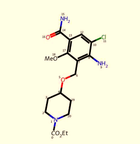 CCOC(=O)N1CCC(OCc2c(N)c(Cl)cc(C(N)=O)c2OC)CC1